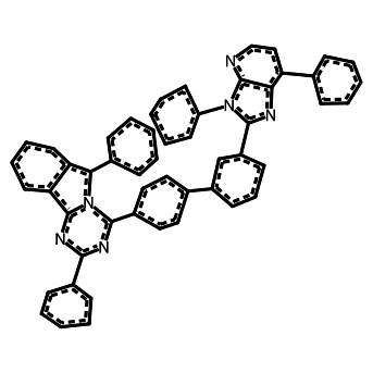 c1ccc(-c2nc(-c3ccc(-c4cccc(-c5nc6c(-c7ccccc7)ccnc6n5-c5ccccc5)c4)cc3)n3c(-c4ccccc4)c4ccccc4c3n2)cc1